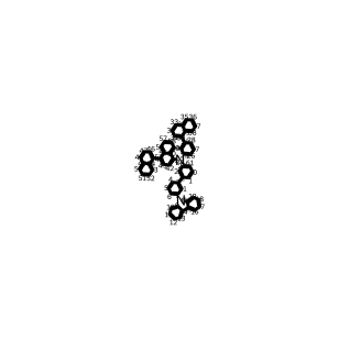 c1cc(-c2cccc(-n3c4ccccc4c4ccccc43)c2)cc(N(c2cccc(-c3cccc4ccccc34)c2)c2ccc(-c3cccc4ccccc34)c3ccccc23)c1